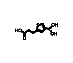 O=C(O)CCc1cc(P(O)O)cs1